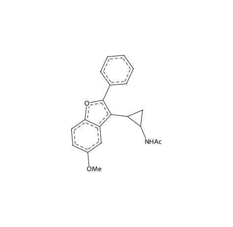 COc1ccc2oc(-c3ccccc3)c(C3CC3NC(C)=O)c2c1